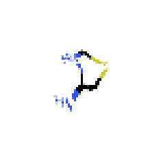 N=C1CS[C]N1